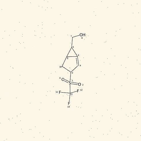 O=S(=O)(C1C=C2C(CO)C2C1)C(F)(F)F